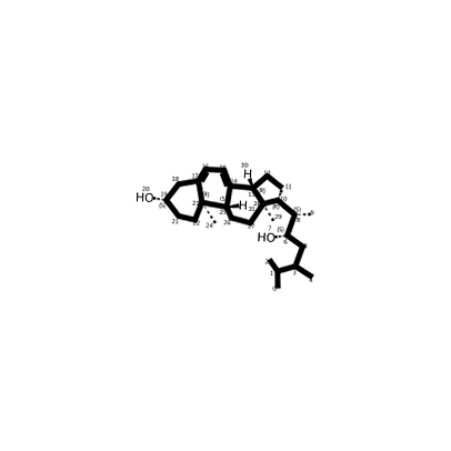 CC(C)C(C)C[C@H](O)[C@@H](C)[C@H]1CC[C@H]2C3=CC=C4C[C@@H](O)CC[C@]4(C)[C@H]3CC[C@]12C